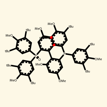 COc1cc(OC)c(-c2c(OC)cc(OC)cc2P(=O)(c2cc(C(C)(C)C)c(OC)c(C(C)(C)C)c2)c2cc(C(C)(C)C)c(OC)c(C(C)(C)C)c2)c(P(c2cc(C(C)(C)C)c(OC)c(C(C)(C)C)c2)c2cc(C(C)(C)C)c(OC)c(C(C)(C)C)c2)c1